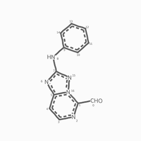 O=Cc1nccc2nc(Nc3ccccc3)nn12